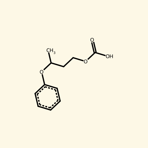 CC(CCOC(=O)O)Oc1ccccc1